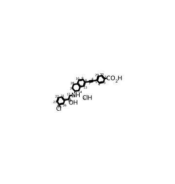 Cl.O=C(O)c1ccc(C#Cc2ccc3c(c2)C[C@@H](NC[C@H](O)c2cccc(Cl)c2)CC3)cc1